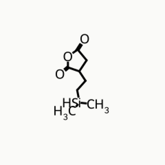 C[SiH](C)CCC1CC(=O)OC1=O